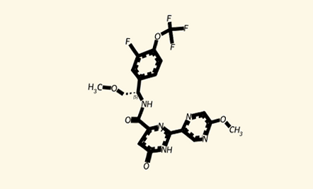 COC[C@@H](NC(=O)c1cc(=O)[nH]c(-c2cnc(OC)cn2)n1)c1ccc(OC(F)(F)F)c(F)c1